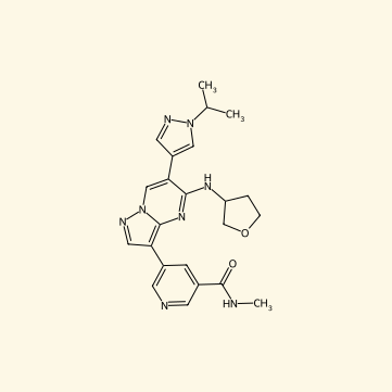 CNC(=O)c1cncc(-c2cnn3cc(-c4cnn(C(C)C)c4)c(NC4CCOC4)nc23)c1